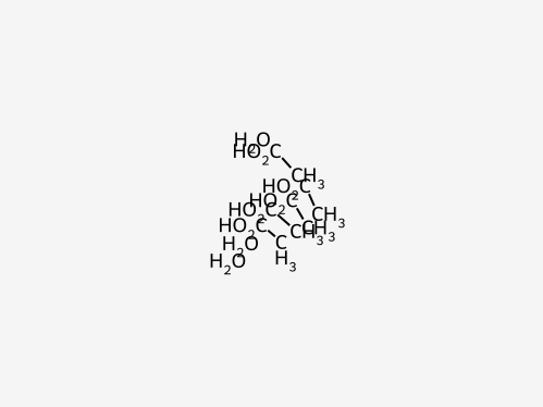 CC(=O)O.CC(=O)O.CC(=O)O.CC(=O)O.CC(=O)O.O.O.O